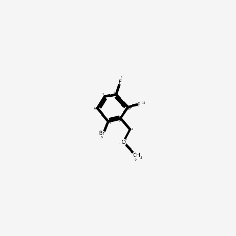 COCc1c(Br)ccc(F)c1F